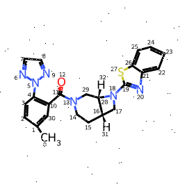 Cc1ccc(-n2nccn2)c(C(=O)N2CC[C@H]3CN(c4nc5ccccc5s4)[C@H]3C2)c1